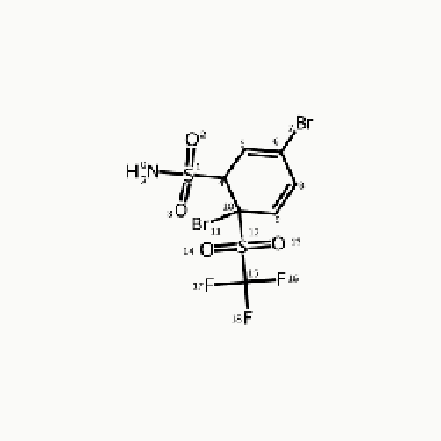 NS(=O)(=O)C1C=C(Br)C=CC1(Br)S(=O)(=O)C(F)(F)F